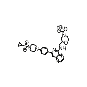 CC(C)(C)OC(=O)N1CCOC(CNc2nc(-c3ccc(N4CCN(S(=O)(=O)C5CC5)CC4)cc3)cc3nccnc23)C1